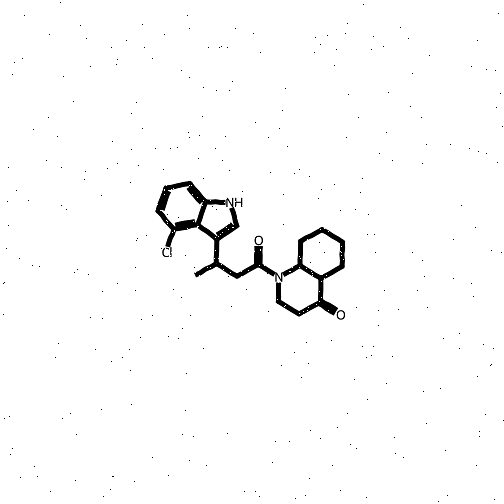 CC(CC(=O)N1CCC(=O)C2CCCCC21)c1c[nH]c2cccc(Cl)c12